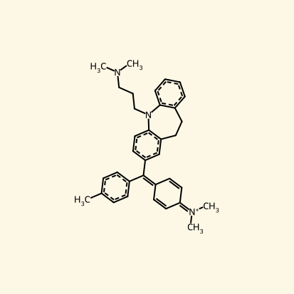 Cc1ccc(C(=C2C=CC(=[N+](C)C)C=C2)c2ccc3c(c2)CCc2ccccc2N3CCCN(C)C)cc1